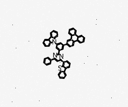 c1ccc(-c2cc(-c3cccc4c3sc3ccccc34)nc(-c3cc(-c4ccc5c6ccccc6c6ccccc6c5c4)cc(-n4c5ccccc5c5ccccc54)c3)n2)cc1